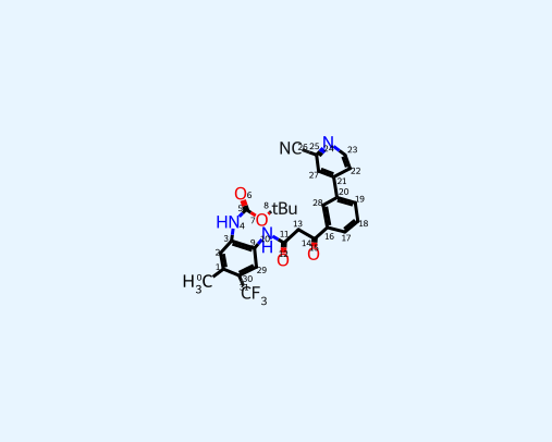 Cc1cc(NC(=O)OC(C)(C)C)c(NC(=O)CC(=O)c2cccc(-c3ccnc(C#N)c3)c2)cc1C(F)(F)F